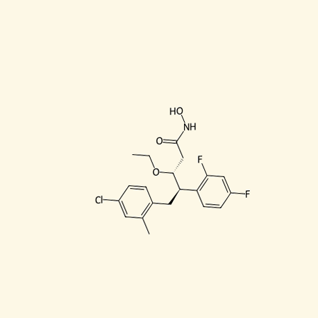 CCO[C@H](CC(=O)NO)[C@H](Cc1ccc(Cl)cc1C)c1ccc(F)cc1F